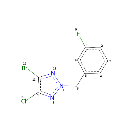 Fc1cccc(Cn2nc(Cl)c(Br)n2)c1